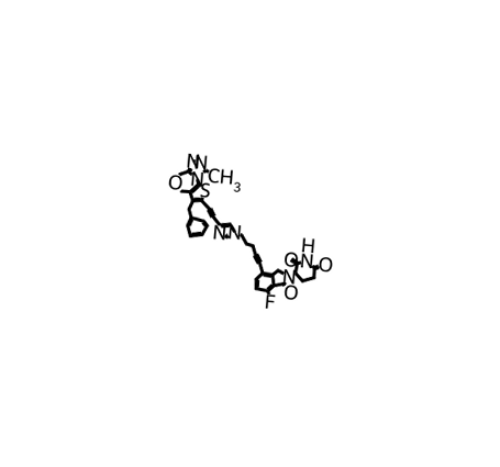 Cc1nnc2n1-c1sc(C#Cc3cn(CCCC#Cc4ccc(F)c5c4CN(C4CCC(=O)NC4=O)C5=O)cn3)c(Cc3ccccc3)c1COC2